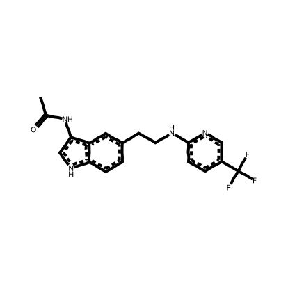 CC(=O)Nc1c[nH]c2ccc(CCNc3ccc(C(F)(F)F)cn3)cc12